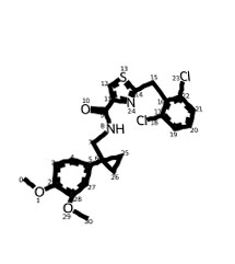 COc1ccc(C2(CNC(=O)c3csc(Cc4c(Cl)cccc4Cl)n3)CC2)cc1OC